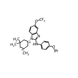 CC(C)Oc1ccc(Nc2nc3cc(OC(F)(F)F)ccc3n2[C@@H]2C[C@H](C)CC(C)(C)C2)cc1